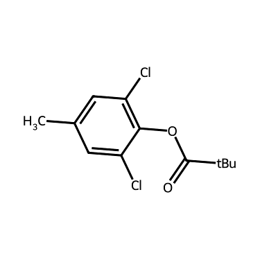 Cc1cc(Cl)c(OC(=O)C(C)(C)C)c(Cl)c1